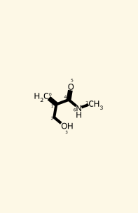 C=C(CO)C(=O)NC